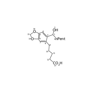 CCCCCC(O)c1cc2c(cc1CCCCC(=O)O)OCO2